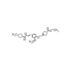 CCOC(=O)C1CCN(CCOc2ccc(/C=C/C(=O)NC3CCC(C)CC3)cc2OC)CC1